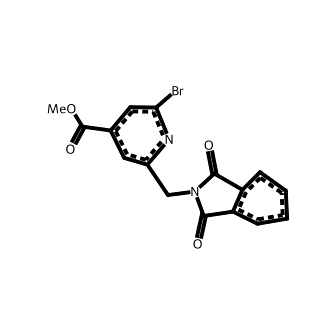 COC(=O)c1cc(Br)nc(CN2C(=O)c3ccccc3C2=O)c1